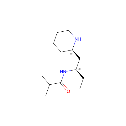 CC[C@H](C[C@H]1CCCCN1)NC(=O)C(C)C